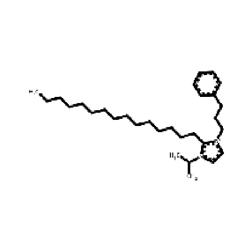 CCCCCCCCCCCCCCCc1n(C(C)C)cc[n+]1CCCc1ccccc1